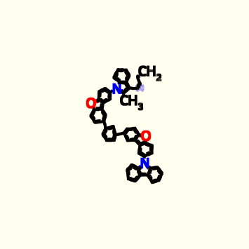 C=C/C=C\c1c(C)n(-c2ccc3oc4ccc(-c5cccc(-c6ccc7oc8ccc(-n9c%10ccccc%10c%10ccccc%109)cc8c7c6)c5)cc4c3c2)c2ccccc12